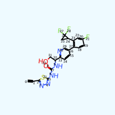 C#Cc1nnc(NC(=O)NC(CO)c2ccc(-c3ccc(F)cc3C3CC3(F)F)cn2)s1